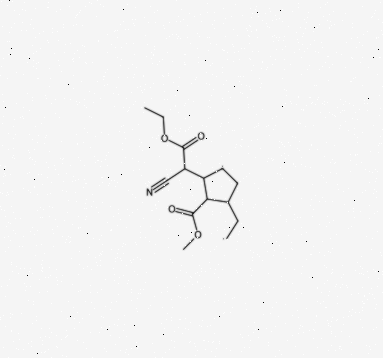 [CH2]CC1C[CH]C(C(C#N)C(=O)OCC)C1C(=O)OC